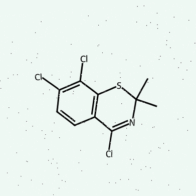 CC1(C)N=C(Cl)c2ccc(Cl)c(Cl)c2S1